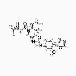 COc1cc(Nc2ncc(-c3ccccc3N(C)C(=O)CNC(C)C)o2)ccc1-c1cnco1